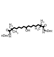 CCCCCCCCCCNC(=O)C(C)(C)CCCCCC(O)CCCCCC(C)(C)C(=O)NCCCCCCCCCC